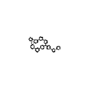 c1ccc(-c2cccc(-c3ccc(C(c4ccc(-c5cccc(-c6ccccc6)c5)cc4)c4cccc(-c5cccc(-c6ccc7oc8ccccc8c7c6)c5)c4)cc3)c2)cc1